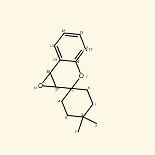 CC1(C)CCC2(CC1)Oc1ncccc1C1OC12